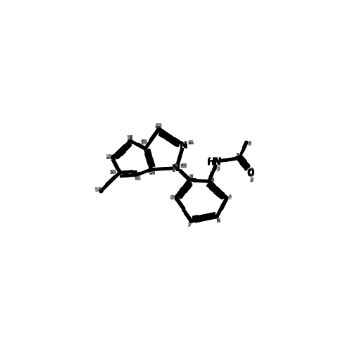 CC(=O)Nc1ccccc1-n1ncc2ccc(C)cc21